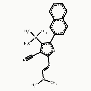 CN(C)C=Nc1sc(-c2ccc3ccccc3c2)c([Si](C)(C)C)c1C#N